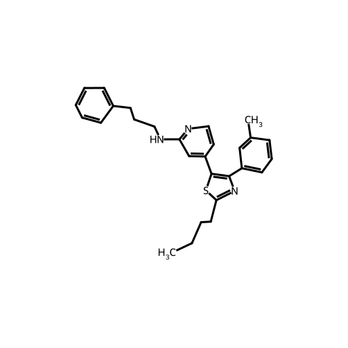 CCCCc1nc(-c2cccc(C)c2)c(-c2ccnc(NCCCc3ccccc3)c2)s1